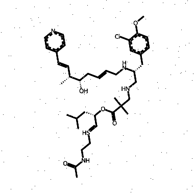 COc1ccc(C[C@H](CNCC(C)(C)C(=O)O[C@H](C=[SH]CCNC(C)=O)CC(C)C)NC/C=C/C[C@H](O)[C@H](C)/C=C/c2ccncc2)cc1Cl